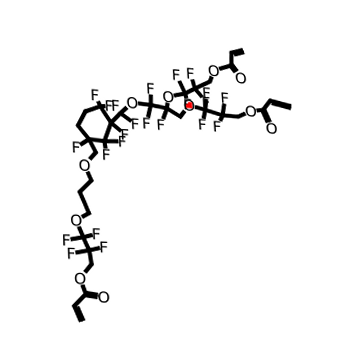 C=CC(=O)OCC(F)(F)C(F)(F)OCCCOCC1(F)CCC(F)(F)C(F)(C(F)(F)OC(F)(F)C(F)(COC(F)(F)C(F)(F)COC(=O)C=C)OC(F)(F)C(F)(F)COC(=O)C=C)C1(F)F